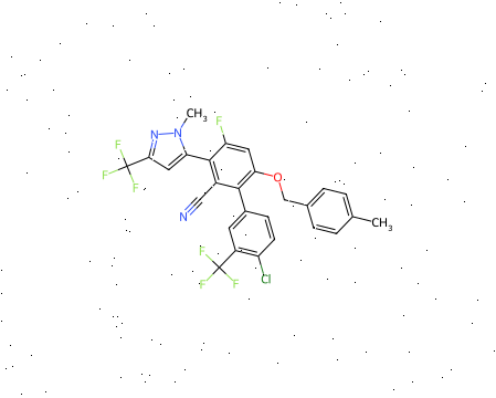 Cc1ccc(COc2cc(F)c(-c3cc(C(F)(F)F)nn3C)c(C#N)c2-c2ccc(Cl)c(C(F)(F)F)c2)cc1